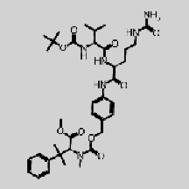 COC(=O)[C@@H](N(C)C(=O)OCc1ccc(NC(=O)[C@H](CCCNC(N)=O)NC(=O)[C@@H](NC(=O)OC(C)(C)C)C(C)C)cc1)C(C)(C)c1ccccc1